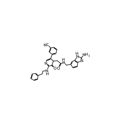 N#Cc1cccc(C2=CN=C(NCCc3ccccc3)C(=O)C2CC(=O)NCc2ccc3nc(N)[nH]c3c2)c1